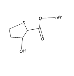 CCCOC(=O)C1SCCC1O